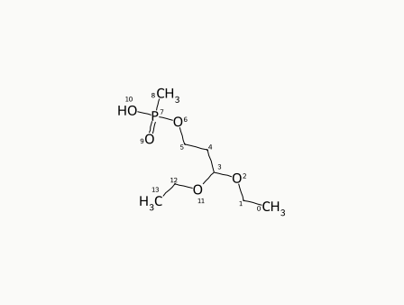 CCOC(CCOP(C)(=O)O)OCC